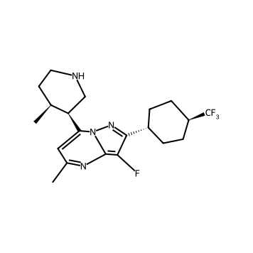 Cc1cc([C@@H]2CNCC[C@@H]2C)n2nc([C@H]3CC[C@H](C(F)(F)F)CC3)c(F)c2n1